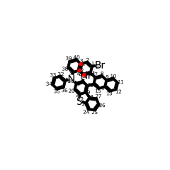 Brc1ccccc1-c1cc2ccccc2cc1-c1c2c(cc3sc4ccccc4c13)N(c1ccccc1)c1ccccc1N2